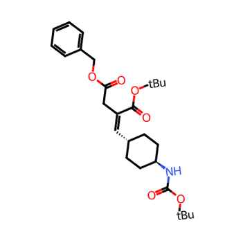 CC(C)(C)OC(=O)N[C@H]1CC[C@H](C=C(CC(=O)OCc2ccccc2)C(=O)OC(C)(C)C)CC1